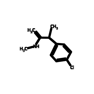 C=C(NC)C(C)c1ccc(Cl)cc1